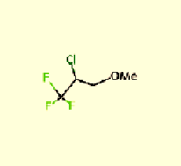 COCC(Cl)C(F)(F)F